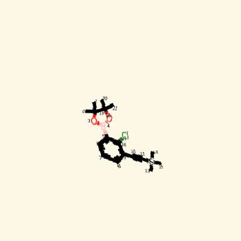 CC1(C)OB(c2cccc(C#C[Si](C)(C)C)c2Cl)OC1(C)C